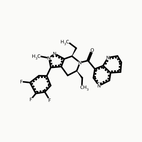 CC[C@H]1Cc2c(nn(C)c2-c2cc(F)c(F)c(F)c2)[C@@H](CC)N1C(=O)c1cncc2cccnc12